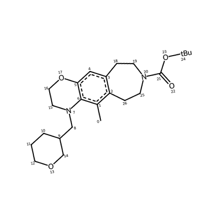 Cc1c2c(cc3c1N(CC1CCCOC1)CCO3)CCN(C(=O)OC(C)(C)C)CC2